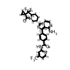 Nc1nccn2c([C@H]3CCC4N(C3)C(=O)C3(CC3)C4(F)F)nc(-c3ccc(C(=O)Nc4cc(C(F)(F)F)ccn4)cc3)c12